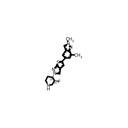 Cc1cc(-c2cc3cn([C@H]4CCNC[C@@H]4F)nc3s2)cc2cn(C)nc12